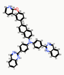 c1ccc2nc(-c3ccc(N(c4ccc(-c5ncc6ccccc6n5)cc4)c4ccc5cc(-c6ccc7oc8ncccc8c7c6)ccc5c4)cc3)ncc2c1